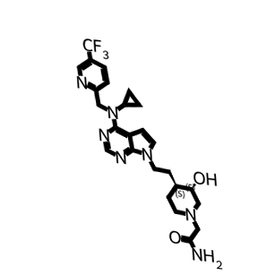 NC(=O)CN1CC[C@@H](CCn2ccc3c(N(Cc4ccc(C(F)(F)F)cn4)C4CC4)ncnc32)[C@H](O)C1